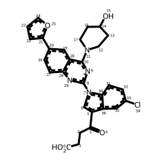 O=C(O)CCC(=O)c1cn(-c2nc(N3CCC(O)CC3)c3cc(-c4ccco4)ccc3n2)c2ccc(Cl)cc12